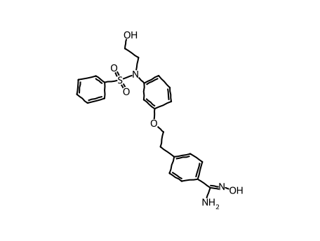 NC(=NO)c1ccc(CCOc2cccc(N(CCO)S(=O)(=O)c3ccccc3)c2)cc1